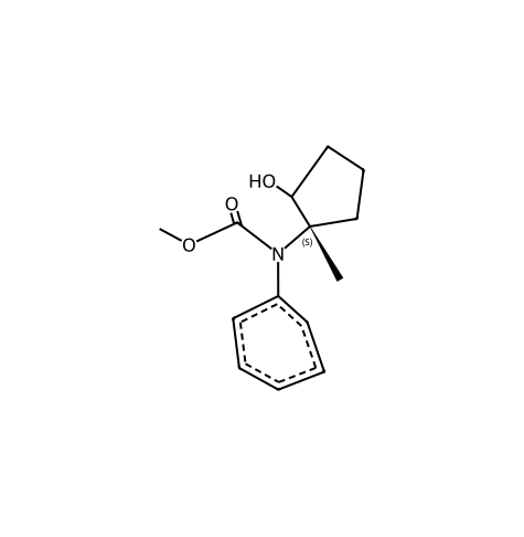 COC(=O)N(c1ccccc1)[C@@]1(C)CCCC1O